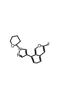 FC1=CC2=CCC=C(c3cnn(C4CCCCO4)c3)C2=CO1